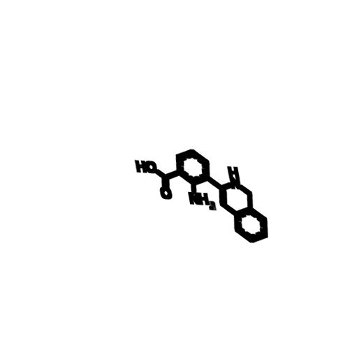 Nc1c(C(=O)O)cccc1C1=Cc2ccccc2CN1